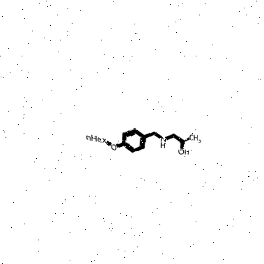 CCCCCCOc1ccc(CNC[C@@H](C)O)cc1